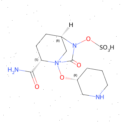 NC(=O)[C@@H]1CC[C@@H]2C[N+]1(O[C@@H]1CCCNC1)C(=O)N2OS(=O)(=O)O